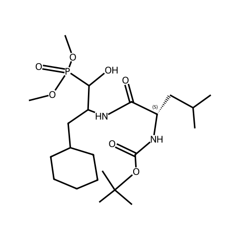 COP(=O)(OC)C(O)C(CC1CCCCC1)NC(=O)[C@H](CC(C)C)NC(=O)OC(C)(C)C